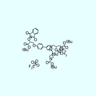 CC(C)(C)OC(=O)NCC(Cn1cc(-c2ccc(OCC(ON3C(=O)c4ccccc4C3=O)C(=O)OC(C)(C)C)cc2)c[n+]1CC1CN(C(=O)OC(C)(C)C)C1)O[Si](C)(C)C(C)(C)C.O=S(=O)([O-])C(F)(F)F